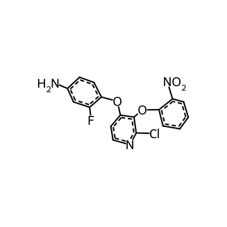 Nc1ccc(Oc2ccnc(Cl)c2Oc2ccccc2[N+](=O)[O-])c(F)c1